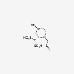 C=CCN1C=CC(C(C)=O)=CC1.O=S(=O)(O)OS(=O)(=O)O